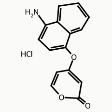 Cl.Nc1ccc(Oc2ccoc(=O)c2)c2ccccc12